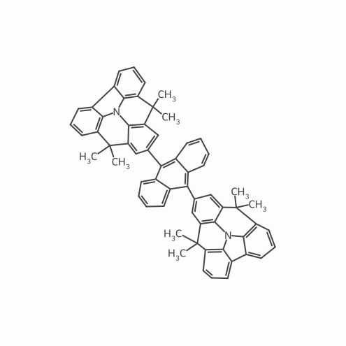 CC1(C)c2cc(-c3c4ccccc4c(-c4cc5c6c(c4)C(C)(C)c4cccc7c8cccc(c8n-6c47)C5(C)C)c4ccccc34)cc3c2-n2c4c1cccc4c1cccc(c12)C3(C)C